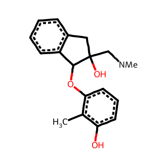 CNCC1(O)Cc2ccccc2C1Oc1cccc(O)c1C